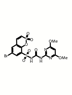 COc1cc(OC)nc(NC(=O)NS(=O)(=O)c2cc(Br)cc3c2OS(=O)(=O)C=C3)n1